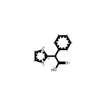 O=C(O)C(c1ccccc1)c1ncco1